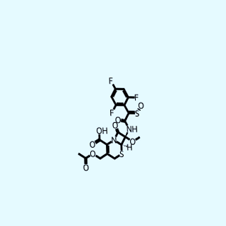 CO[C@@]1(NC(=O)C(=S=O)c2c(F)cc(F)cc2F)C(=O)N2C(C(=O)O)=C(COC(C)=O)CS[C@@H]21